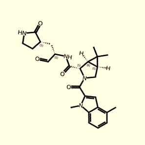 Cc1cccc2c1cc(C(=O)N1C[C@H]3[C@@H]([C@H]1C(=O)N[C@H](C=O)C[C@@H]1CCNC1=O)C3(C)C)n2C